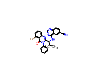 CC(C)[C@H](Nc1ncnc2ccc(C#N)cc12)c1nc2cccc(Br)c2c(=O)n1-c1ccccc1